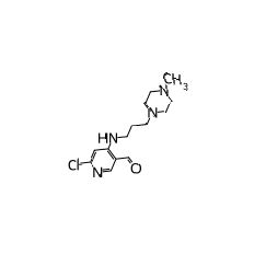 CN1CCN(CCCNc2cc(Cl)ncc2C=O)CC1